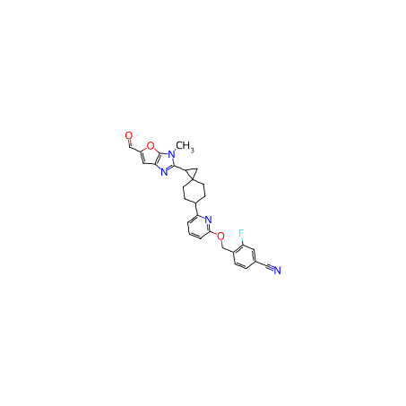 Cn1c(C2CC23CCC(c2cccc(OCc4ccc(C#N)cc4F)n2)CC3)nc2cc(C=O)oc21